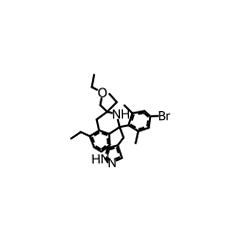 CCOCC1(CC)Cc2c(CC)cccc2C(Cc2cn[nH]c2)(c2c(C)cc(Br)cc2C)N1